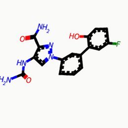 NC(=O)Nc1cn(-c2cccc(-c3cc(F)ccc3O)c2)nc1C(N)=O